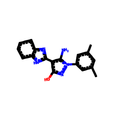 Cc1cc(C)cc(-n2nc(O)c(-c3nc4ccccc4[nH]3)c2N)c1